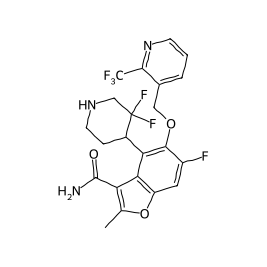 Cc1oc2cc(F)c(OCc3cccnc3C(F)(F)F)c(C3CCNCC3(F)F)c2c1C(N)=O